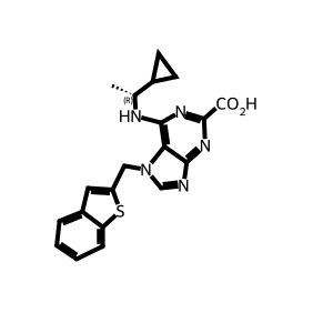 C[C@@H](Nc1nc(C(=O)O)nc2ncn(Cc3cc4ccccc4s3)c12)C1CC1